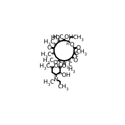 CC[C@H]1OC(=O)[C@@](C)(F)C(=O)[C@H](C)[C@@H](O[C@@H]2O[C@H](C)C[C@H](N(C)CC)[C@H]2O)[C@](C)(OC)C[C@@H](C)C(=O)[C@H](C)[C@@H](O)[C@]1(C)O